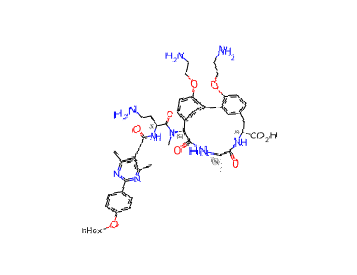 CCCCCCOc1ccc(-c2nc(C)c(C(=O)N[C@@H](CCN)C(=O)N(C)[C@@H]3C(=O)N[C@@H](C)C(=O)N[C@H](C(=O)O)Cc4ccc(OCCN)c(c4)-c4cc3ccc4OCCN)c(C)n2)cc1